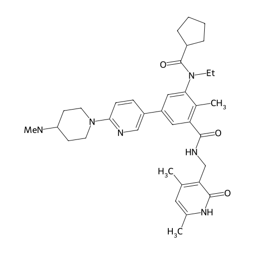 CCN(C(=O)C1CCCC1)c1cc(-c2ccc(N3CCC(NC)CC3)nc2)cc(C(=O)NCc2c(C)cc(C)[nH]c2=O)c1C